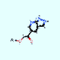 CC(C)OCC(=O)c1cnc2[nH]ncc2c1